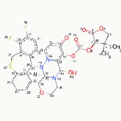 CC1(C)COC(=O)[C@@H]1OC(=O)Oc1c2n(ccc1=O)N([C@@H]1C3=C(CCC=C3)SCc3c1ccc(F)c3F)[C@@H]1COCCN1C2O